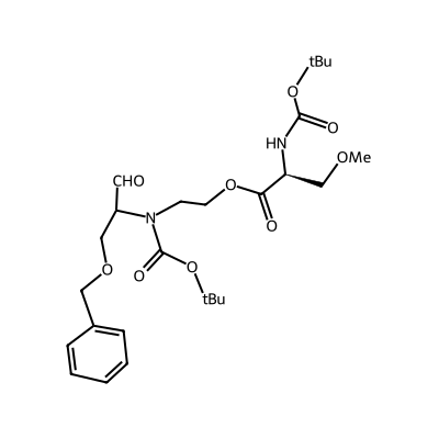 COC[C@H](NC(=O)OC(C)(C)C)C(=O)OCCN(C(=O)OC(C)(C)C)C(C=O)COCc1ccccc1